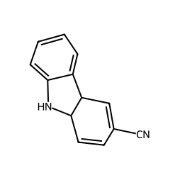 N#CC1=CC2c3ccccc3NC2C=C1